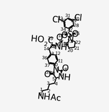 CC(=O)NCCCCC1NC(=O)N(c2ccc(C[C@H](NC(=O)[C@H]3CCCN3S(=O)(=O)c3cc(Cl)cc(Cl)c3)C(=O)O)cc2)C1=O